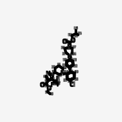 CCOC(=O)c1cnn(C2CCCN(c3cc(Cl)ccc3-c3ccc(N4CCN(C(=O)OCC(C)C)CC4)cc3)C2)c1C(F)(F)F